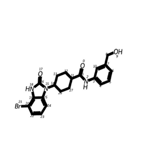 O=C(Nc1cccc(CO)c1)C1CCC(n2c(=O)[nH]c3c(Br)cccc32)CC1